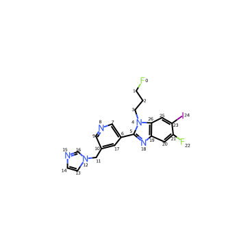 FCCCn1c(-c2cncc(Cn3ccnc3)c2)nc2cc(F)c(I)cc21